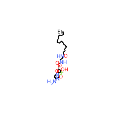 CC/C=C\C/C=C\C/C=C\C/C=C\C/C=C\CCCC(=O)NCCNC(=O)OC[C@H]1O[C@@H](n2ccc(N)nc2=O)C(F)(F)[C@@H]1O